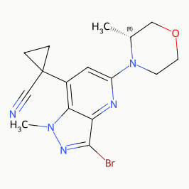 C[C@@H]1COCCN1c1cc(C2(C#N)CC2)c2c(n1)c(Br)nn2C